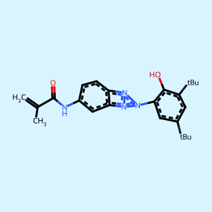 C=C(C)C(=O)Nc1ccc2c(c1)n1n(-c3cc(C(C)(C)C)cc(C(C)(C)C)c3O)n21